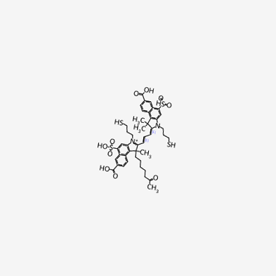 CC(=O)CCCCCC1(C)C(/C=C/C=C2/N(CCCS)c3cc([SH](=O)=O)c4cc(C(=O)O)ccc4c3C2(C)C)=[N+](CCCS)c2cc(S(=O)(=O)O)c3cc(C(=O)O)ccc3c21